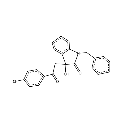 O=C(CC1(O)C(=O)N(Cc2ccccc2)c2ccccc21)c1ccc(Cl)cc1